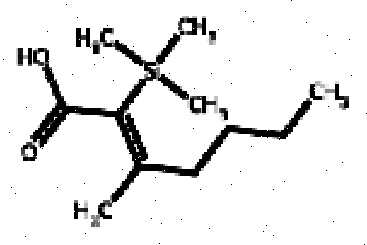 CCCCC(C)=C(C(=O)O)[Si](C)(C)C